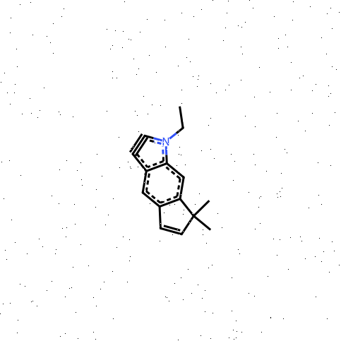 CCn1c#cc2cc3c(cc21)C(C)(C)C=C3